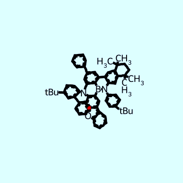 CC(C)(C)c1ccc(N2B3c4cc5c(cc4N(c4ccc(C(C)(C)C)cc4-c4ccccc4)c4cc(-c6ccccc6)cc(c43)-c3cc4c(cc32)C(C)(C)CCC4(C)C)oc2ccccc25)cc1